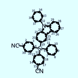 N#Cc1ccc([Si](c2ccccc2)(c2ccc(C#N)cc2)c2ccc3c(c2)c2ccccc2n3-c2ccccc2)cc1